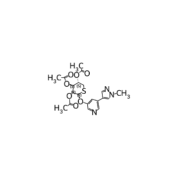 CC(=O)O[C@@H]1[C@@H](OC(C)=O)[C@H](OC(C)=O)CS[C@H]1Oc1cncc(-c2cnn(C)c2)c1